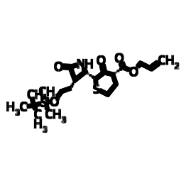 C=CCOC(=O)[C@@H]1CCSC([C@H]2NC(=O)[C@H]2CCO[Si](C)(C)C(C)(C)C)C1=O